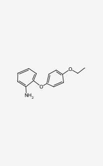 CCOc1ccc(Oc2ccccc2N)cc1